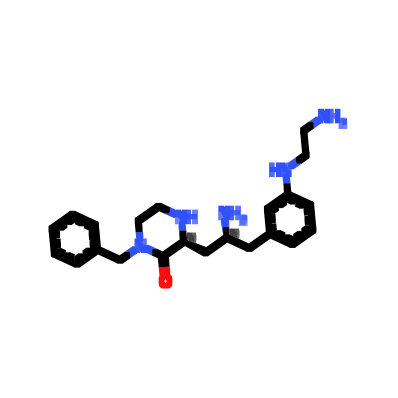 NCCNc1cccc(C[C@H](N)C[C@@H]2NCCN(Cc3ccccc3)C2=O)c1